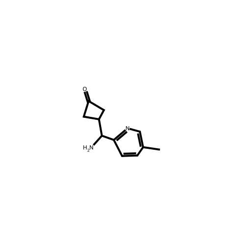 Cc1ccc(C(N)C2CC(=O)C2)nc1